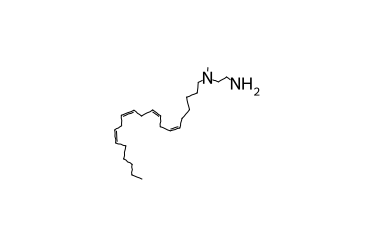 CCCCC/C=C\C/C=C\C/C=C\C/C=C\CCCCCN(C)CCN